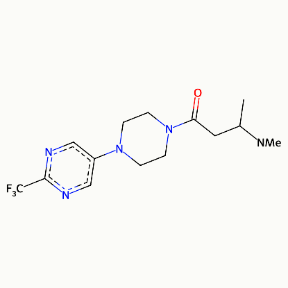 CNC(C)CC(=O)N1CCN(c2cnc(C(F)(F)F)nc2)CC1